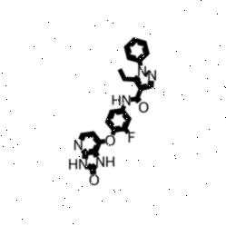 CCc1c(C(=O)Nc2ccc(Oc3ccnc4[nH]c(=O)[nH]c34)c(F)c2)cnn1-c1ccccc1